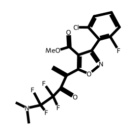 C=C(C(=O)C(F)(F)C(F)(F)N(C)C)c1onc(-c2c(F)cccc2Cl)c1C(=O)OC